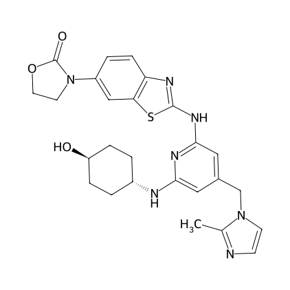 Cc1nccn1Cc1cc(Nc2nc3ccc(N4CCOC4=O)cc3s2)nc(N[C@H]2CC[C@H](O)CC2)c1